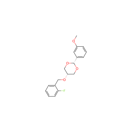 COc1cccc([C@H]2OC[C@@H](OCc3ccccc3F)CO2)c1